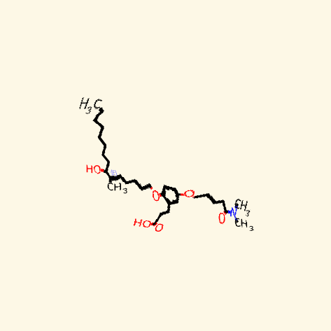 CCCCCCCCC(O)/C(C)=C/CCCCOc1ccc(OCCCCC(=O)N(C)C)cc1CCC(=O)O